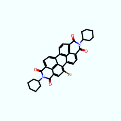 O=C1c2ccc3c4ccc5c6c(cc(Br)c(c7ccc(c2c37)C(=O)N1C1CCCCC1)c64)C(=O)N(C1CCCCC1)C5=O